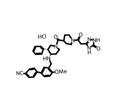 COc1ccc(-c2ccc(C#N)cc2)cc1CN[C@H]1CCN(C(=O)C2CCN(C(=O)Cc3n[nH]c(=O)[nH]3)CC2)C[C@H]1c1ccccc1.Cl